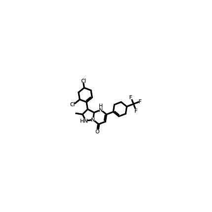 CC1NN2C(=O)C=C(C3=CCC(C(F)(F)F)CC3)NC2C1C1=CCC(Cl)CC1Cl